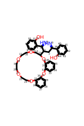 N=C(CC(C(=N)c1ccccc1O)C1COCCOCCOCCOc2ccccc2Oc2ccccc2O1)c1ccccc1O